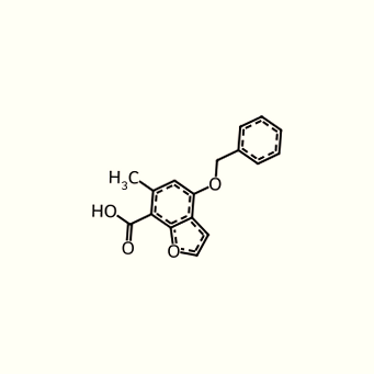 Cc1cc(OCc2ccccc2)c2ccoc2c1C(=O)O